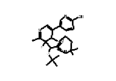 CC1=NC=C(c2ccc(O)nc2)C(N2CCC(C)(C)CC2)C1(F)C(OC(C)(C)C)C(=O)O